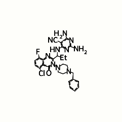 CCC(Nc1nc(N)nc(N)c1C#N)c1nc2c(F)ccc(Cl)c2c(=O)n1N1CCN(Cc2ccccc2)CC1